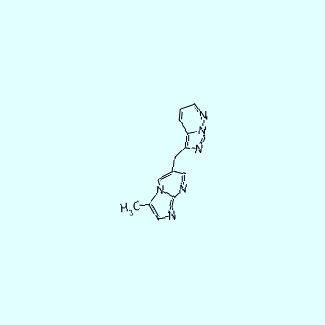 Cc1cnc2ncc(Cc3ncn4ncccc34)cn12